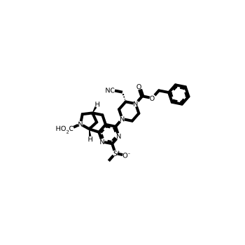 C[S+]([O-])c1nc2c(c(N3CCN(C(=O)OCc4ccccc4)[C@@H](CC#N)C3)n1)C[C@@H]1C[C@H]2N(C(=O)O)C1